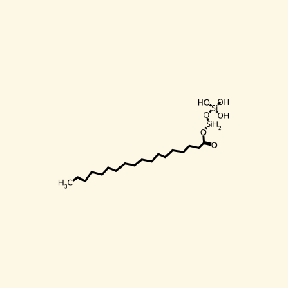 CCCCCCCCCCCCCCCCCC(=O)O[SiH2]O[Si](O)(O)O